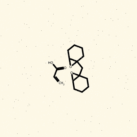 C1CCC2(CC34CCCCC3O4)OC2C1.C=CC(=O)O